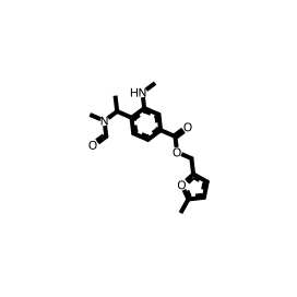 CNc1cc(C(=O)OCc2ccc(C)o2)ccc1C(C)N(C)C=O